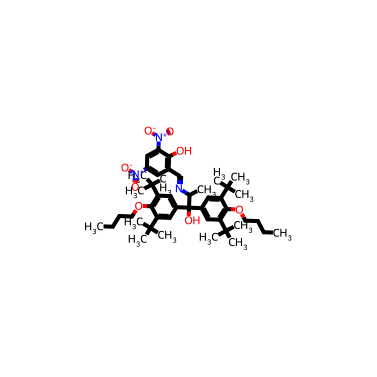 CCCCOc1c(C(C)(C)C)cc(C(O)(c2cc(C(C)(C)C)c(OCCCC)c(C(C)(C)C)c2)C(C)N=Cc2cc([N+](=O)[O-])cc([N+](=O)[O-])c2O)cc1C(C)(C)C